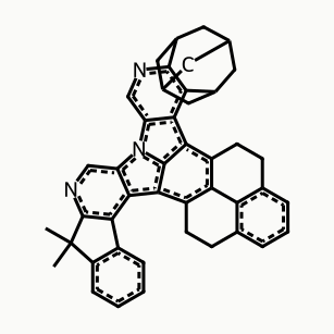 CC1(C)c2ccccc2-c2c1ncc1c2c2c3c4c(c5c6c7c(ncc6n1c25)C1CC2CC(C1)CC7C2)CCc1cccc(c1-4)CC3